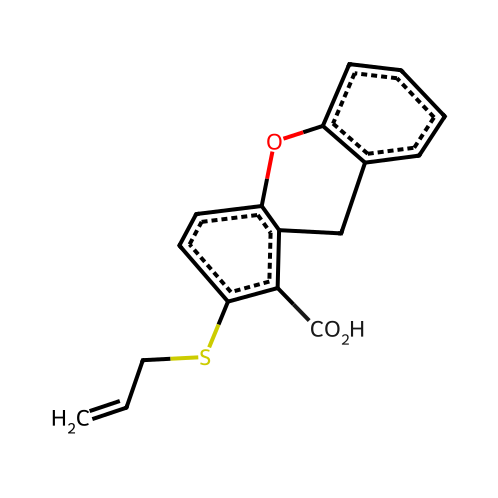 C=CCSc1ccc2c(c1C(=O)O)Cc1ccccc1O2